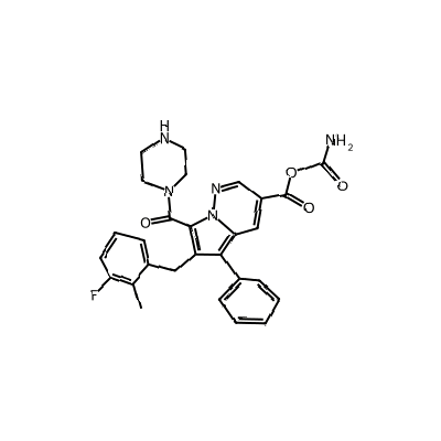 Cc1c(F)cccc1Cc1c(-c2ccccc2)c2cc(C(=O)OC(N)=O)cnn2c1C(=O)N1CCNCC1